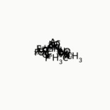 CC(=O)N1CC(c2ccc(OC(F)F)c(OC(F)F)c2)C[C@@H]1C(=O)NCc1cccc(C(=O)N(C)C)n1